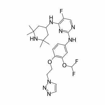 CC1(C)CC(Nc2nc(Nc3ccc(OCCn4ccnn4)c(OC(F)F)c3)ncc2F)CC(C)(C)N1